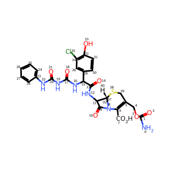 NC(=O)OCC1=C(C(=O)O)N2C(=O)C(NC(=O)C(NC(=O)NC(=O)Nc3ccccc3)c3ccc(O)c(Cl)c3)[C@@H]2SC1